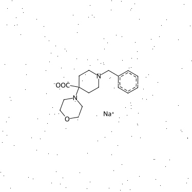 O=C([O-])C1(N2CCOCC2)CCN(Cc2ccccc2)CC1.[Na+]